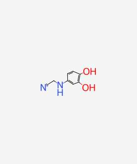 N#CCNc1ccc(O)c(O)c1